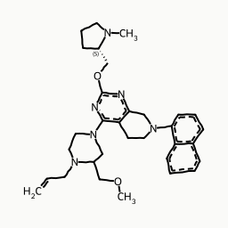 C=CCN1CCN(c2nc(OC[C@@H]3CCCN3C)nc3c2CCN(c2cccc4ccccc24)C3)CC1COC